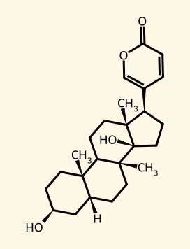 C[C@]12CC[C@H](O)C[C@H]1CC[C@]1(C)C2CC[C@]2(C)[C@@H](c3ccc(=O)oc3)CC[C@]12O